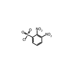 O=[N+]([O-])c1cccc(S(=O)(=O)Cl)c1[N+](=O)[O-]